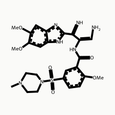 COc1cc2nc(C(=N)/C(=C\N)NC(=O)c3cc(S(=O)(=O)N4CCN(C)CC4)ccc3OC)[nH]c2cc1OC